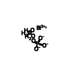 O.O.O.O=P([O-])([O-])[O-].[Bi+3]